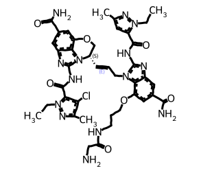 CCn1nc(C)cc1C(=O)Nc1nc2cc(C(N)=O)cc(OCCCNC(=O)CN)c2n1C/C=C/[C@H]1COc2cc(C(N)=O)cc3nc(NC(=O)c4c(Cl)c(C)nn4CC)n1c23